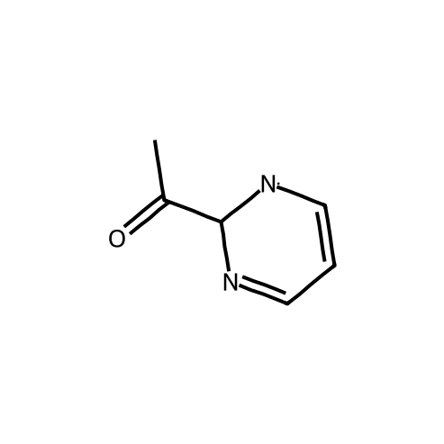 CC(=O)C1[N]C=CC=N1